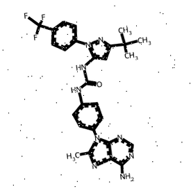 Cc1nc2c(N)ncnc2n1-c1ccc(NC(=O)Nc2cc(C(C)(C)C)nn2-c2ccc(C(F)(F)F)cc2)cc1